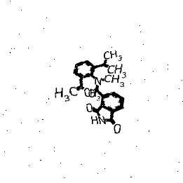 CC(C)c1cccc(C(C)C)c1N(C)C(=O)c1cccc2c1C(=O)NC2=O